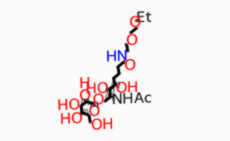 CCOCCOCCNC(=O)CCC[C@@H](O)[C@@H](O)[C@H](CO[C@H]1OC(CO)[C@H](O)C(O)[C@@H]1O)NC(C)=O